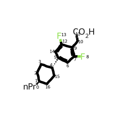 CCC[C@H]1CC[C@H](c2cc(F)c(CC(=O)O)c(F)c2)CC1